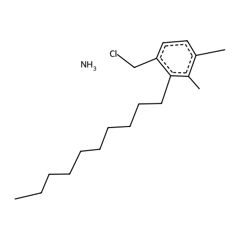 CCCCCCCCCCc1c(CCl)ccc(C)c1C.N